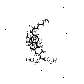 CC(C)CCC[C@@H](C)[C@H]1CC[C@H]2[C@@H]3CC=C4CC(C(C(=O)O)C(=O)O)CC[C@]4(C)[C@H]3CC[C@]12C